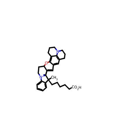 CC1(CCCCCC(=O)O)C2=[N+](CCC3Oc4c(cc5c6c4CCCN6CCC5)C=C23)c2ccccc21